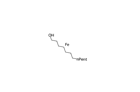 CCCCCCCCCCCCO.[Fe]